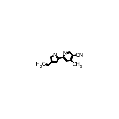 C=CC1=CC(c2cc(C)c(C#N)cn2)=NC1